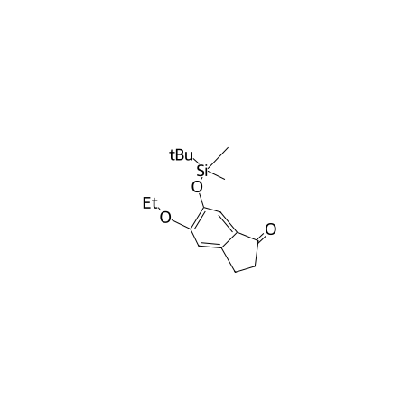 CCOc1cc2c(cc1O[Si](C)(C)C(C)(C)C)C(=O)CC2